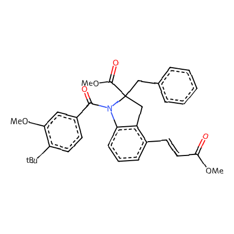 COC(=O)/C=C/c1cccc2c1CC(Cc1ccccc1)(C(=O)OC)N2C(=O)c1ccc(C(C)(C)C)c(OC)c1